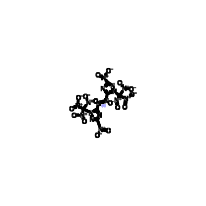 O=[N+]([O-])c1nc(/N=N/c2nc([N+](=O)[O-])nn2C([N+](=O)[O-])([N+](=O)[O-])[N+](=O)[O-])n(C([N+](=O)[O-])([N+](=O)[O-])[N+](=O)[O-])n1